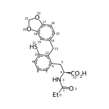 CCC(=O)N[C@@H](Cc1cccc(S)c1Cc1ccc2c(c1)OCO2)C(=O)O